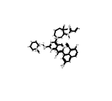 C#Cc1c(F)ccc2cc(O)cc(-c3ncc4c(N5CCCC(C)(C)C(N(C)C(=O)C=C)C5)nc(OC[C@H]5CCCCN5C)nc4c3F)c12